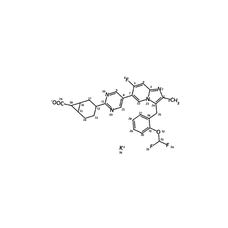 Cc1nc2cc(F)c(-c3cnc(C4CCC5C(C4)C5C(=O)[O-])nc3)cn2c1Cc1ccccc1OC(F)F.[K+]